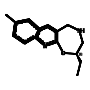 CC[C@@H]1CNCc2cc3cc(C)ccc3nc2O1